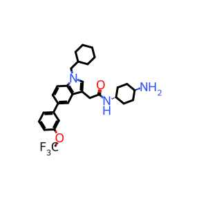 N[C@H]1CC[C@H](NC(=O)Cc2cn(CC3CCCCC3)c3ccc(-c4cccc(OC(F)(F)F)c4)cc23)CC1